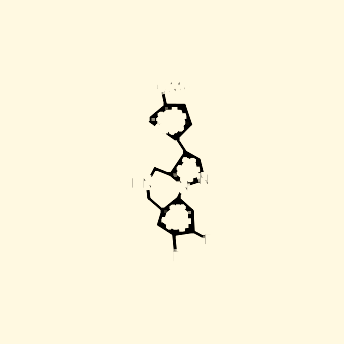 COc1ccc(-c2cnn3c2CNCc2cc(F)c(F)cc2-3)cc1